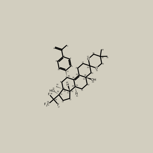 C=C(C)c1ccc([C@H]2C[C@@]3(C)[C@@H](CC[C@@]3(O)C(F)(F)C(F)(F)F)[C@@H]3CC[C@@]4(O)CC5(CCC4=C32)OCC(C)(C)CO5)cc1